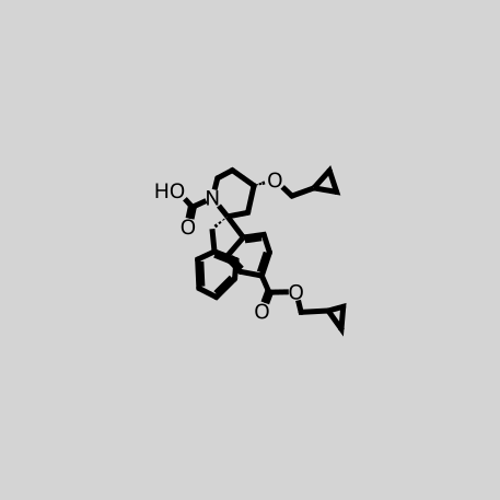 O=C(OCC1CC1)c1ccc([C@]2(Cc3ccccc3)C[C@@H](OCC3CC3)CCN2C(=O)O)cc1